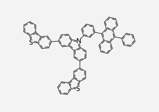 c1ccc(-c2c3ccccc3c(-c3cccc(-n4c5ccc(-c6ccc7sc8ccccc8c7c6)cc5c5cc(-c6ccc7sc8ccccc8c7c6)ccc54)c3)c3ccccc23)cc1